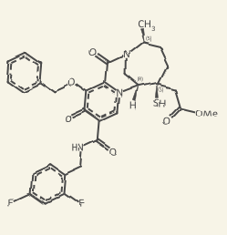 COC(=O)C[C@@]1(S)CC[C@H](C)N2C[C@H]1n1cc(C(=O)NCc3ccc(F)cc3F)c(=O)c(OCc3ccccc3)c1C2=O